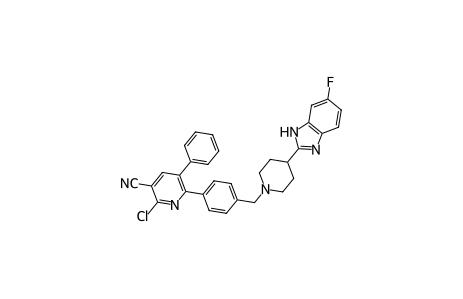 N#Cc1cc(-c2ccccc2)c(-c2ccc(CN3CCC(c4nc5ccc(F)cc5[nH]4)CC3)cc2)nc1Cl